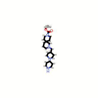 CC(C)(C)OC(=O)N1CCC2(CCCN(CC3CCN(C4CCNCC4)CC3)C2)CC1